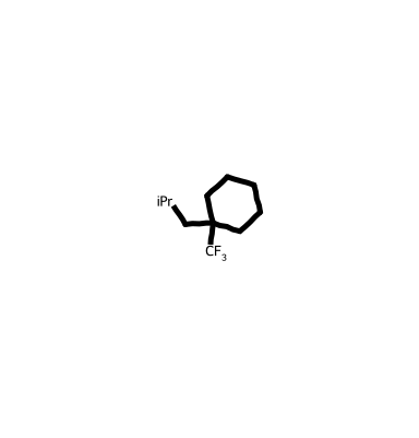 CC(C)CC1(C(F)(F)F)CCCCC1